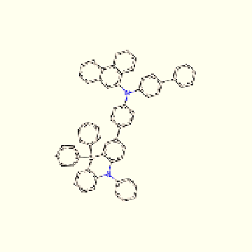 c1ccc(-c2ccc(N(c3ccc(-c4ccc5c(c4)[Si](c4ccccc4)(c4ccccc4)c4ccccc4N5c4ccccc4)cc3)c3cc4ccccc4c4ccccc34)cc2)cc1